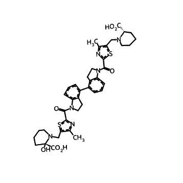 Cc1nc(C(=O)N2CCc3c(-c4cccc5c4CCN5C(=O)c4nc(C)c(CN5CCCC[C@]5(O)C(=O)O)s4)cccc32)sc1CN1CCCC[C@H]1C(=O)O